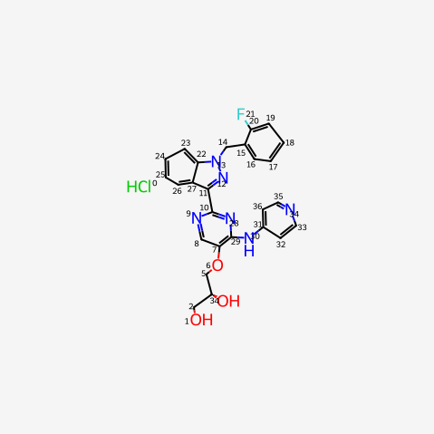 Cl.OC[C@H](O)COc1cnc(-c2nn(Cc3ccccc3F)c3ccccc23)nc1Nc1ccncc1